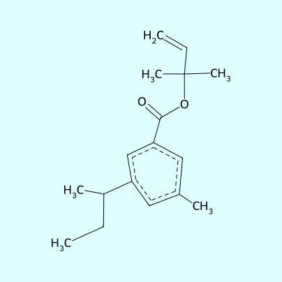 C=CC(C)(C)OC(=O)c1cc(C)cc(C(C)CC)c1